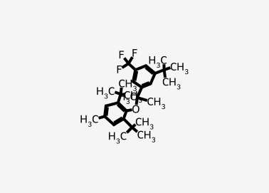 Cc1cc(C(C)(C)C)c(OC(C)(C)c2cc(C(C)(C)C)cc(C(F)(F)F)c2)c(C(C)(C)C)c1